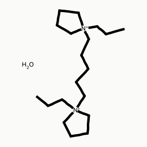 CCC[N+]1(CCCCC[N+]2(CCC)CCCC2)CCCC1.O